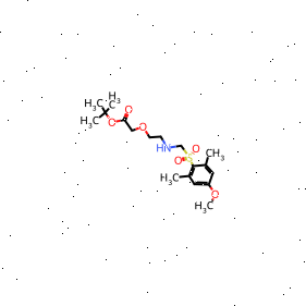 COc1cc(C)c(S(=O)(=O)CNCCOCC(=O)OC(C)(C)C)c(C)c1